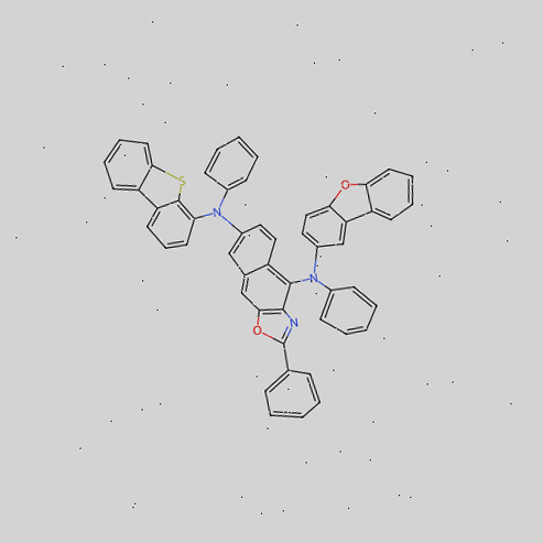 c1ccc(-c2nc3c(N(c4ccccc4)c4ccc5oc6ccccc6c5c4)c4ccc(N(c5ccccc5)c5cccc6c5sc5ccccc56)cc4cc3o2)cc1